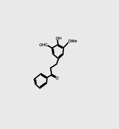 COc1cc(CCC(=O)c2ccccc2)cc(C=O)c1O